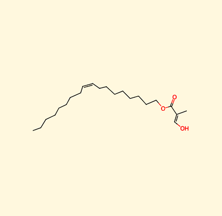 CCCCCCCC/C=C\CCCCCCCCOC(=O)C(C)=CO